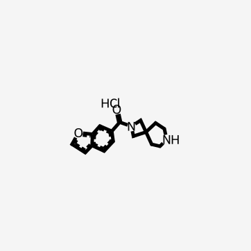 Cl.O=C(c1ccc2ccoc2c1)N1CC2(CCNCC2)C1